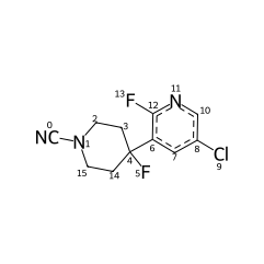 N#CN1CCC(F)(c2cc(Cl)cnc2F)CC1